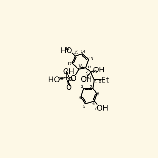 CCC(c1cccc(O)c1)C(O)(O)c1ccc(O)cc1OP(=O)(O)O